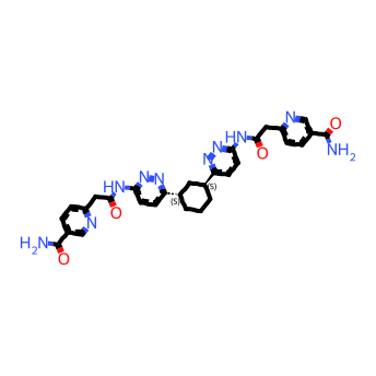 NC(=O)c1ccc(CC(=O)Nc2ccc([C@H]3CCC[C@H](c4ccc(NC(=O)Cc5ccc(C(N)=O)cn5)nn4)C3)nn2)nc1